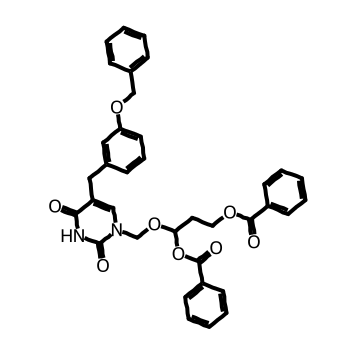 O=C(OCCC(OCn1cc(Cc2cccc(OCc3ccccc3)c2)c(=O)[nH]c1=O)OC(=O)c1ccccc1)c1ccccc1